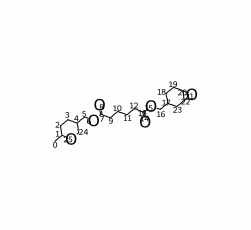 CC1CCC(COC(=O)CCCCC(=O)OCC2CCC3OC3C2)CO1